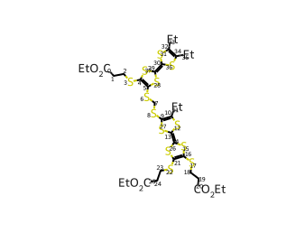 CCOC(=O)CCSC1=C(SCSC2=C(CC)SC(=C3SC(SCCC(=O)OCC)=C(SCCC(=O)OCC)S3)S2)SC(=C2SC(CC)=C(CC)S2)S1